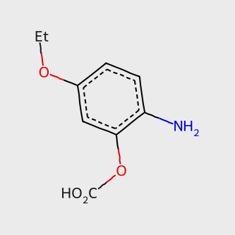 CCOc1ccc(N)c(OC(=O)O)c1